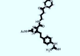 CC(=O)Nc1nc(CCc2ccc(NC(=N)N)cc2)c(C(=O)NCCCC(=O)N2CCOCC2)s1